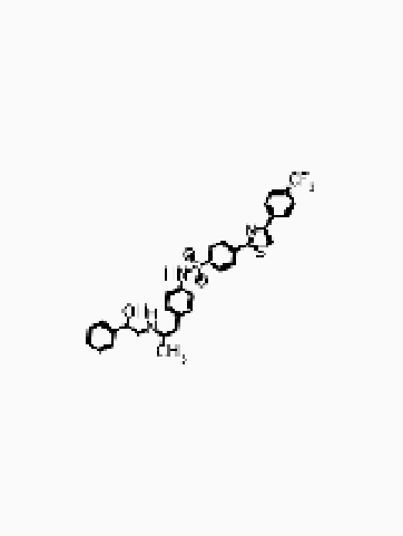 CC(Cc1ccc(NS(=O)(=O)c2ccc(-c3nc(-c4ccc(C(F)(F)F)cc4)cs3)cc2)cc1)NCC(O)c1ccccc1